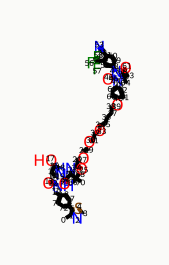 Cc1ncsc1-c1ccc(CNC(=O)[C@@H]2C[C@@H](O)CN2C(=O)[C@@H](NC(=O)COCCOCCOCCCCCOc2ccc(N3C(=O)N(c4ccc(C#N)c(C(F)(F)F)c4)C(=O)C3(C)C)cc2)C(C)(C)C)cc1